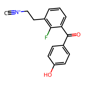 [C-]#[N+]CCc1cccc(C(=O)c2ccc(O)cc2)c1F